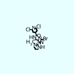 CC(NC(=O)c1cc(Cl)nc(Cl)c1)c1nc(Br)nn1C1=NC=CCN1